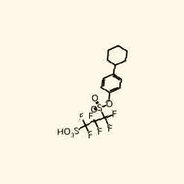 O=S(=O)(O)C(F)(F)C(F)(F)C(F)(F)S(=O)(=O)Oc1ccc(C2CCCCC2)cc1